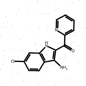 Nc1c(C(=O)c2ccccn2)[nH]c2cc(Cl)ccc12